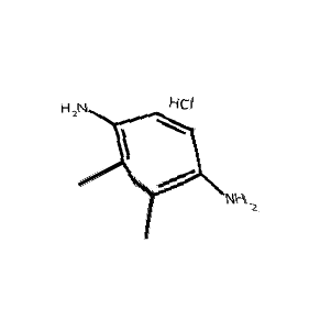 Cc1c(N)ccc(N)c1C.Cl